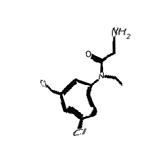 CN(C(=O)CN)c1cc(Cl)cc(Cl)c1